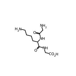 NCCCCC(NC(=O)CN)C(=O)NCC(=O)O